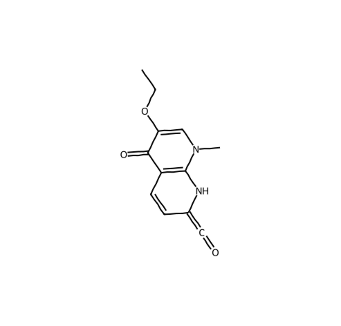 CCOc1cn(C)c2c(c1=O)C=CC(=C=O)N2